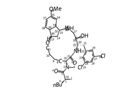 CCCC[C@H](C)C(=O)N(C)[C@H]1CCCCO[C@@H]2C[C@H](NC[C@@H](O)[C@H](Cc3cc(Cl)cc(Cl)c3)NC1=O)C1C=C(OC)C=CC12